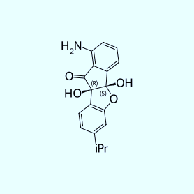 CC(C)c1ccc2c(c1)O[C@@]1(O)c3cccc(N)c3C(=O)[C@@]21O